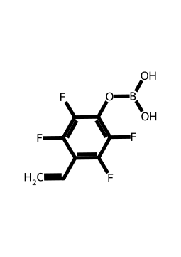 C=Cc1c(F)c(F)c(OB(O)O)c(F)c1F